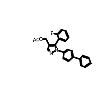 CC(=O)OCc1cnn(-c2ccc(-c3ccccc3)cc2)c1-c1ccccc1F